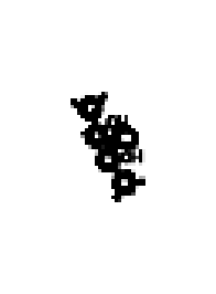 Cc1cc(C)cc(-c2cccc(C3(c4cccc(-c5cc(C)cc(C)c5)c4O)CCCCC3)c2O)c1